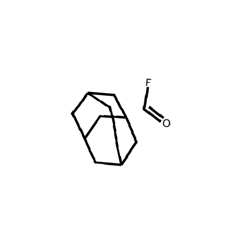 C1C2CC3CC1CC(C2)C3.O=CF